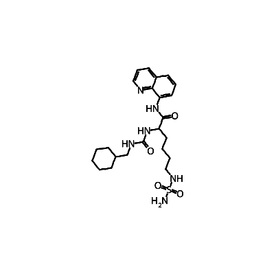 NS(=O)(=O)NCCCCC(NC(=O)NCC1CCCCC1)C(=O)Nc1cccc2cccnc12